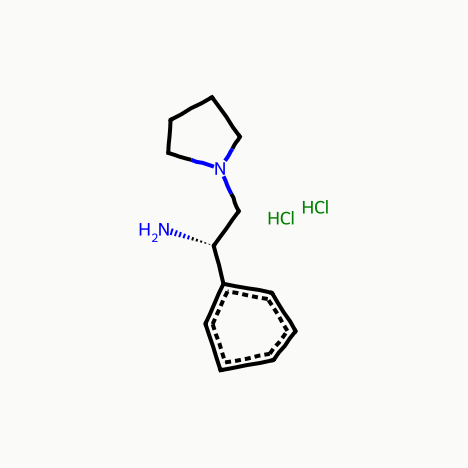 Cl.Cl.N[C@H](CN1CCCC1)c1ccccc1